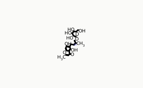 C/C(=C/Cc1c(O)cc2oc(C)cc(=O)c2c1O)CO[C@@H]1OC(CO)[C@@H](O)C(O)C1O